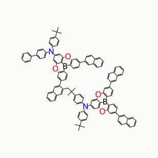 CC(C)(C)c1ccc(N(c2ccc(C(C)(C)Cc3cc4ccccc4cc3-c3ccc4c(c3)Oc3cc(N(c5ccc(-c6ccccc6)cc5)c5ccc(C(C)(C)C)cc5)cc5c3B4c3ccc(-c4ccc6ccccc6c4)cc3O5)cc2)c2cc3c4c(c2)Oc2cc(-c5ccc6ccccc6c5)ccc2B4c2ccc(-c4ccc5ccccc5c4)cc2O3)cc1